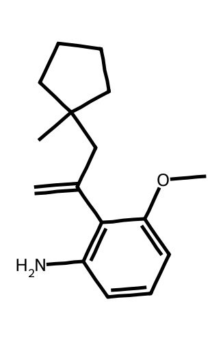 C=C(CC1(C)CCCC1)c1c(N)cccc1OC